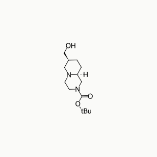 CC(C)(C)OC(=O)N1CCN2C[C@@H](CO)CC[C@H]2C1